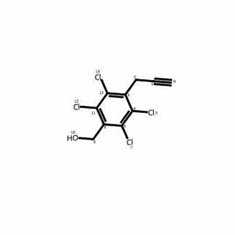 C#CCc1c(Cl)c(Cl)c(CO)c(Cl)c1Cl